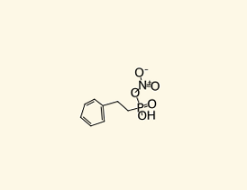 O=[N+]([O-])OP(=O)(O)CCc1ccccc1